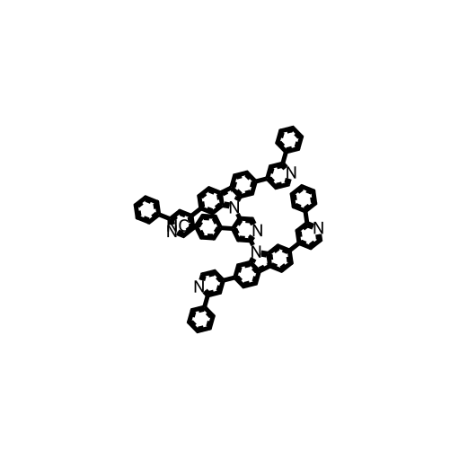 N#Cc1ccc(-c2cc(-n3c4cc(-c5ccnc(-c6ccccc6)c5)ccc4c4ccc(-c5ccnc(-c6ccccc6)c5)cc43)ncc2-n2c3cc(-c4ccnc(-c5ccccc5)c4)ccc3c3ccc(-c4ccnc(-c5ccccc5)c4)cc32)cc1